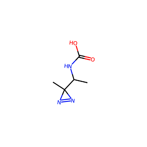 CC(NC(=O)O)C1(C)N=N1